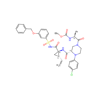 C=C[C@@H]1C[C@]1(NC(=O)[C@@H]1CN(C(=O)[C@@H](NC(=O)OC(C)(C)C)C(C)C)CCN1c1ccc(Cl)cc1)C(=O)NS(=O)(=O)c1cccc(OCc2ccccc2)c1